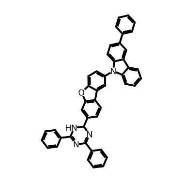 c1ccc(C2=NC(c3ccc4c(c3)oc3ccc(-n5c6ccccc6c6cc(-c7ccccc7)ccc65)cc34)NC(c3ccccc3)=N2)cc1